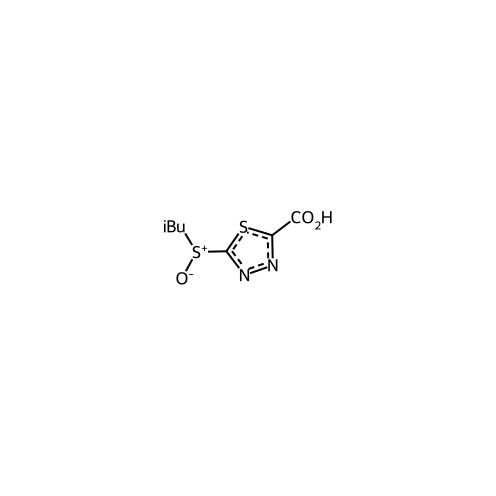 CCC(C)[S+]([O-])c1nnc(C(=O)O)s1